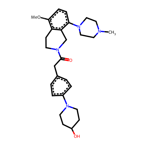 COc1ccc(N2CCN(C)CC2)c2c1CCN(C(=O)Cc1ccc(N3CCC(O)CC3)cc1)C2